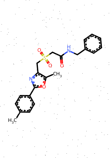 Cc1ccc(-c2nc(CS(=O)(=O)CC(=O)NCc3ccccc3)c(C)o2)cc1